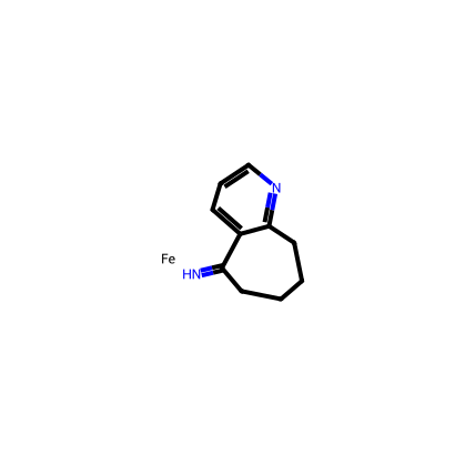 N=C1CCCCc2ncccc21.[Fe]